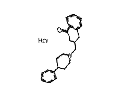 Cl.O=C1CC(CN2CCC(c3ccccc3)CC2)Cc2ccccc21